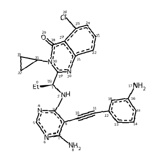 CC[C@H](Nc1ncnc(N)c1C#Cc1cccc(N)c1)c1nc2cccc(Cl)c2c(=O)n1C1CC1